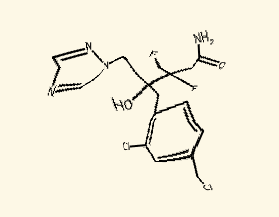 NC(=O)C(F)(F)C(O)(Cn1cncn1)c1ccc(Cl)cc1Cl